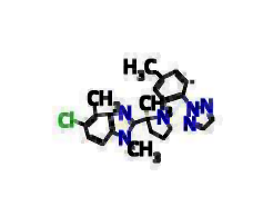 Cc1c[c]c(-n2nccn2)c(N2CCC[C@@]2(C)c2nc3c(C)c(Cl)ccc3n2C)c1